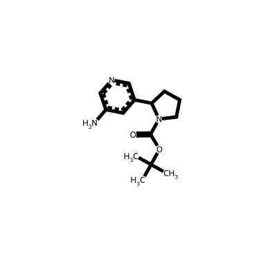 CC(C)(C)OC(=O)N1CCCC1c1cncc(N)c1